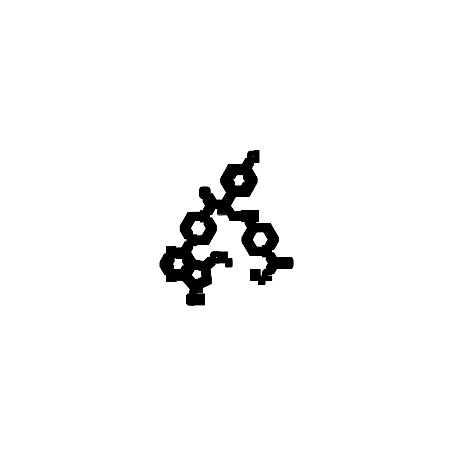 CC(=O)N1CCC(NC[C@@H](C(=O)N2CCN(c3ncnc4c3C(C)C[C@H]4O)CC2)c2ccc(Cl)cc2)CC1